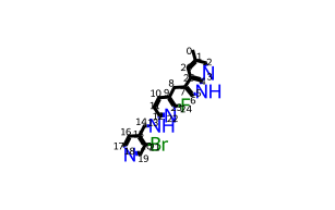 Cc1cnc2[nH]cc(Cc3ccc(NCc4ccncc4Br)nc3F)c2c1